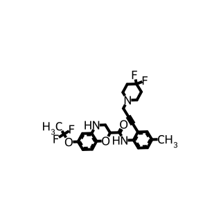 Cc1ccc(NC(=O)C2CNc3cc(OC(C)(F)F)ccc3O2)c(C#CCN2CCC(F)(F)CC2)c1